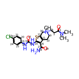 CN(C)C(=O)CC[N+]1(C)CCc2c(sc(NC(=O)Nc3ccc(Cl)cc3)c2C(N)=O)C1